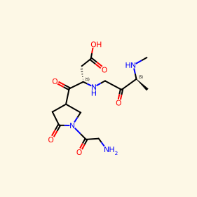 CN[C@@H](C)C(=O)CN[C@@H](CC(=O)O)C(=O)C1CC(=O)N(C(=O)CN)C1